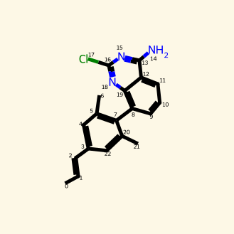 C/C=C/c1cc(C)c(-c2cccc3c(N)nc(Cl)nc23)c(C)c1